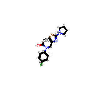 CC(C)(C)C(=O)N(Cc1csc(N2CCCC2)n1)c1ccc(F)cc1